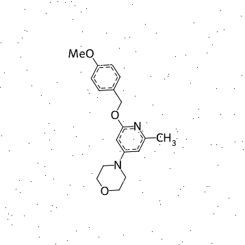 COc1ccc(COc2cc(N3CCOCC3)cc(C)n2)cc1